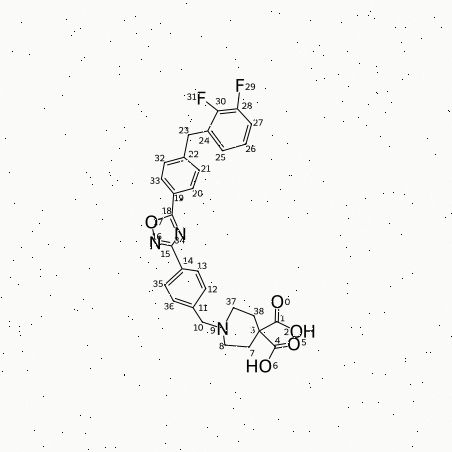 O=C(O)C1(C(=O)O)CCN(Cc2ccc(-c3noc(-c4ccc(Cc5cccc(F)c5F)cc4)n3)cc2)CC1